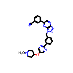 CN1CCC(Oc2cnc(-c3cccc(Cn4nnc5ncc(-c6cccc(C#N)c6)nc54)c3)nc2)CC1